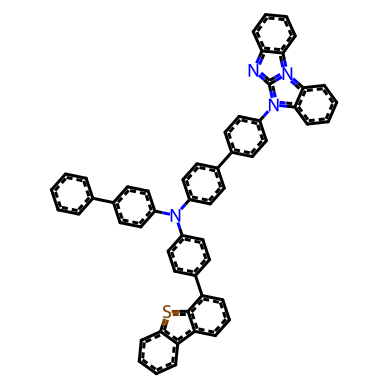 c1ccc(-c2ccc(N(c3ccc(-c4ccc(-n5c6ccccc6n6c7ccccc7nc56)cc4)cc3)c3ccc(-c4cccc5c4sc4ccccc45)cc3)cc2)cc1